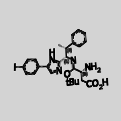 C[C@H](c1ccccc1)[C@H](N=C(OC(C)(C)C)[C@H](N)CC(=O)O)c1ncc(-c2ccc(I)cc2)[nH]1